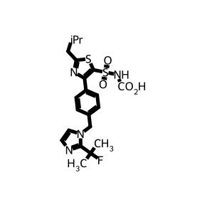 CC(C)Cc1nc(-c2ccc(Cn3ccnc3C(C)(C)F)cc2)c(S(=O)(=O)NC(=O)O)s1